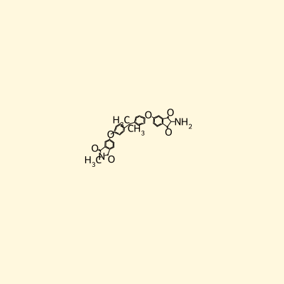 CN1C(=O)c2ccc(Oc3ccc(C(C)(C)c4ccc(Oc5ccc6c(c5)C(=O)C(N)C6=O)cc4)cc3)cc2C1=O